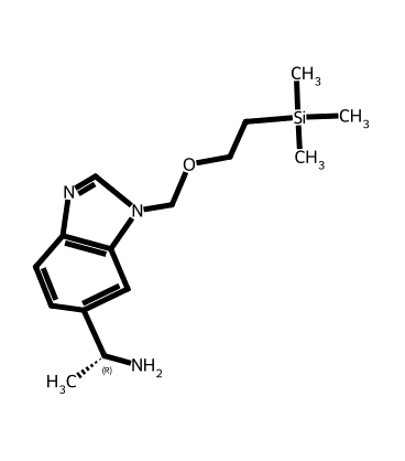 C[C@@H](N)c1ccc2ncn(COCC[Si](C)(C)C)c2c1